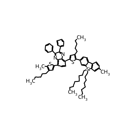 CCCCCCCC[Si]1(CCCCCCCC)c2cc(C)ccc2-c2ccc(-c3sc(-c4ccc(-c5cc(CCCCC)c(C)s5)c5nc(-c6ccccc6)c(-c6ccccc6)nc45)cc3CCCCC)cc21